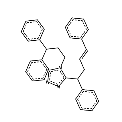 C(=Cc1ccccc1)CC(c1ccccc1)c1nnnn1CCC(c1ccccc1)c1ccccc1